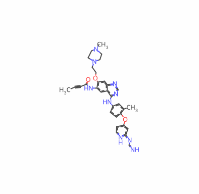 CC#CC(=O)Nc1cc2c(Nc3ccc(Oc4cc[nH]/c(=N\C=N)c4)c(C)c3)ncnc2cc1OCCN1CCN(C)CC1